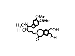 C/N=C(/C1Cc2cc(OC)c(OC)cc21)N(C)CCCN1CCc2cc(CO)c(CO)cc2CC1=O